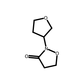 O=C1CCON1C1CCOC1